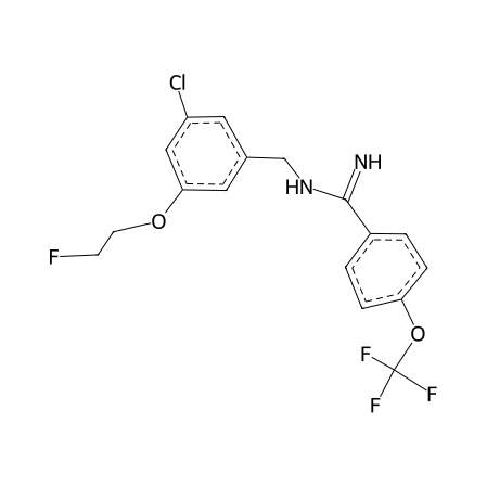 N=C(NCc1cc(Cl)cc(OCCF)c1)c1ccc(OC(F)(F)F)cc1